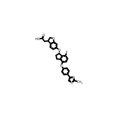 Cc1nc(-c2ccc(Oc3ccc(F)c4c3CC[C@H]4Oc3ccc4c(c3)OCC4CC(=O)O)cc2)cs1